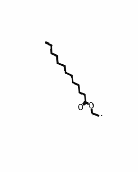 [CH2]COC(=O)CCCCCCCCCCCC